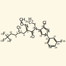 CCN(C(=O)C(C[S+]([O-])CCC(F)(F)F)=NOC)c1cn(-c2cncc(F)c2)nc1Cl